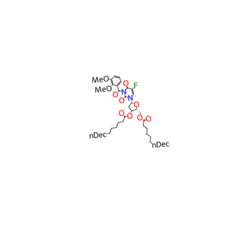 CCCCCCCCCCCCCCCC(=O)OC[C@H]1O[C@@H](n2cc(F)c(=O)n(C(=O)c3cccc(OC)c3OC)c2=O)C[C@@H]1OC(=O)CCCCCCCCCCCCCCC